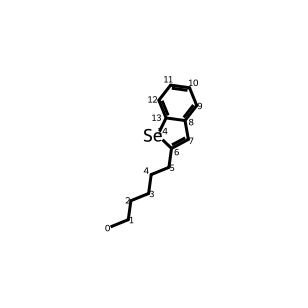 CCCCCCc1cc2ccccc2[se]1